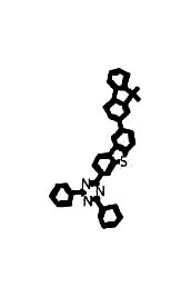 CC1(C)c2ccccc2-c2ccc(-c3ccc4sc5cc(-c6nc(-c7ccccc7)nc(-c7ccccc7)n6)ccc5c4c3)cc21